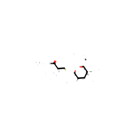 COC(=O)[C@@H](N)CS[C@@H]1O[C@H](COC(C)=O)[C@@H](OC(C)=O)[C@H](OC(C)=O)[C@H]1OC(C)=O